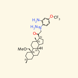 COC[C@]12CC[C@H](C)CC1CC[C@@H]1C2CC[C@@]2(C)C1CC[C@@H]2C(=O)CN(N)c1ccc(OC(F)(F)F)cc1N